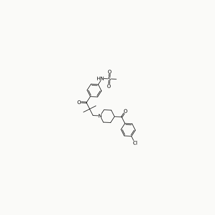 CC(C)(CN1CCC(C(=O)c2ccc(Cl)cc2)CC1)C(=O)c1ccc(NS(C)(=O)=O)cc1